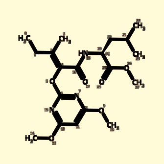 CCC(C)=C(Oc1nc(OC)cc(OC)n1)C(=O)N[C@@H](CC(C)C)C(=O)OC